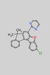 CC1(C)c2ccccc2-c2c1cc(-c1ncccn1)c1oc3cc(Cl)ccc3c21